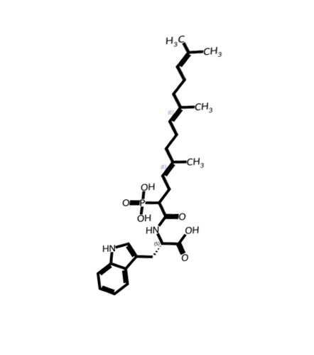 CC(C)=CCC/C(C)=C/CC/C(C)=C/CC(C(=O)N[C@@H](Cc1c[nH]c2ccccc12)C(=O)O)P(=O)(O)O